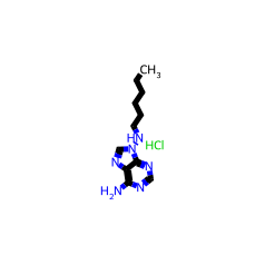 CCCCCCNn1cnc2c(N)ncnc21.Cl